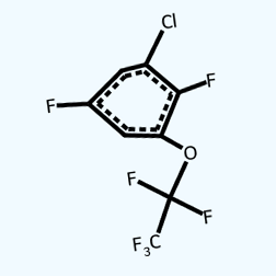 Fc1cc(Cl)c(F)c(OC(F)(F)C(F)(F)F)c1